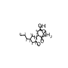 CCCC1CC(=O)N(C(CC(=O)O)C(N)=O)C1